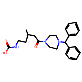 CC(CCNC(=O)O)CC(=O)N1CCN(C(c2ccccc2)c2ccccc2)CC1